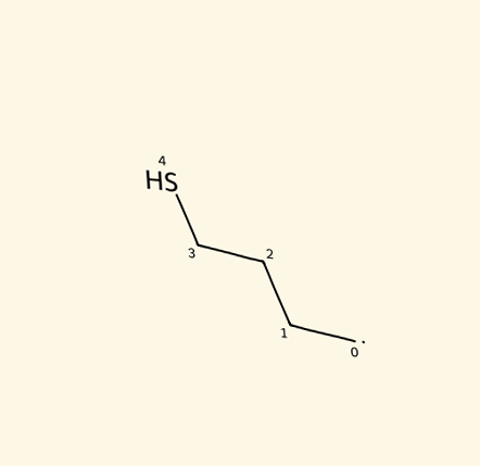 [CH2]CCCS